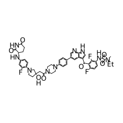 CCN(C)S(=O)(=O)Nc1ccc(F)c(C(=O)c2c[nH]c3ncc(-c4ccc(N5CCN(C(=O)CC6(O)CCN(c7ccc(N[C@@H]8CCC(=O)NC8=O)cc7F)C6)CC5)cc4)cc23)c1F